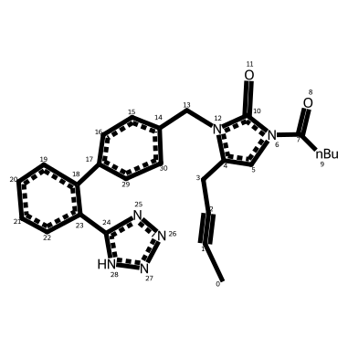 CC#CCc1cn(C(=O)CCCC)c(=O)n1Cc1ccc(-c2ccccc2-c2nnn[nH]2)cc1